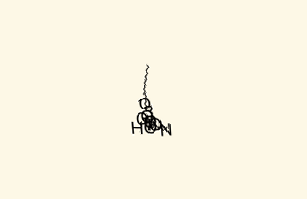 CCCCCCCCCCCCCCOc1ccc(CC(COP(O)OCCCN(C)C)OC=O)cc1